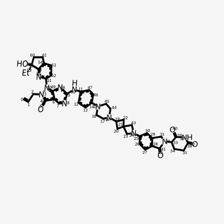 C=CCn1c(=O)c2cnc(Nc3ccc(N4CCN(C5CC6(C5)CN(c5ccc7c(c5)CN(C5CCC(=O)NC5=O)C7=O)C6)CC4)cc3)nc2n1-c1ccc2c(n1)[C@@](O)(CC)CC2